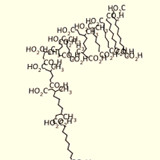 CC(CC(=O)O)C(=O)O.CC(CC(=O)O)CC(=O)O.CC(CCC(=O)O)CC(=O)O.CC(CCCC(=O)O)C(=O)O.CC(CCCC(C)CC(=O)O)CCC(=O)O.CC(CCCCC(C)CC(=O)O)CC(=O)O.CC(CCCCCC(=O)O)C(=O)O.O=C(O)CCCCCCC(=O)O.O=C(O)CCCCCCCC(=O)O.O=C(O)CCCCCCCCC(=O)O.O=C(O)CCCCCCCCCCC(=O)O